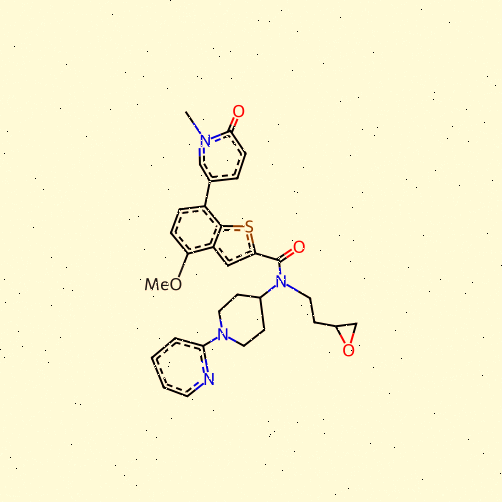 COc1ccc(-c2ccc(=O)n(C)c2)c2sc(C(=O)N(CCC3CO3)C3CCN(c4ccccn4)CC3)cc12